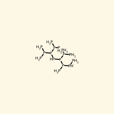 PPP(P)P(PP(P(P)P)P(P)P)P(P)P